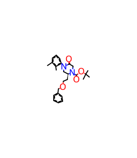 Cc1cccc(N2C[C@H](CCOCc3ccccc3)N(C(=O)OC(C)(C)C)CC2=O)c1C